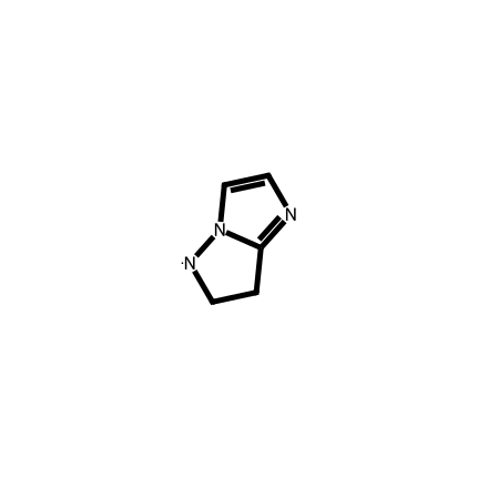 c1cn2c(n1)CC[N]2